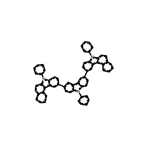 c1ccc(-n2c3ccc(-c4ccc5c(c4)c4c6ccccc6ccc4n5-c4ccccc4)cc3c3cc(-c4ccc5c(c4)c4c6ccccc6ccc4n5-c4ccccc4)ccc32)cc1